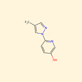 Oc1ccc(-n2cc(C(F)(F)F)cn2)nc1